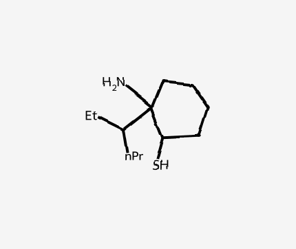 CCCC(CC)C1(N)CCCCC1S